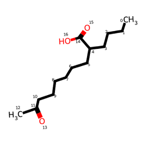 CCCCC(CCCCCCC(C)=O)C(=O)O